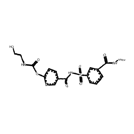 CCCCCCNC(=O)c1cccc(S(=O)(=O)NC(=O)c2ccc(OC(=O)NCCO)nc2)c1